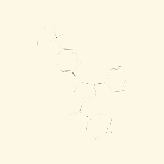 CN1CCN(C(=O)N2C[C@@H](c3ccc(C(O)(C(F)(F)F)C(F)(F)F)cc3)[C@@](C)(c3ccccc3)C2)CC1